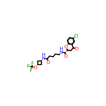 O=C(CCCCNC(=O)[C@H]1CC(=O)c2cc(Cl)ccc2O1)N[C@H]1C[C@@H](OC(F)(F)F)C1